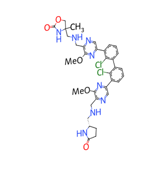 COc1nc(-c2cccc(-c3cccc(-c4cnc(CNCC5(C)COC(=O)N5)c(OC)n4)c3Cl)c2Cl)cnc1CNC[C@@H]1CCC(=O)N1